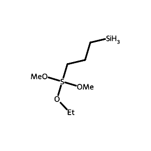 CCOS(CCC[SiH3])(OC)OC